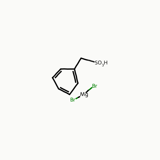 O=S(=O)(O)Cc1ccccc1.[Br][Mg][Br]